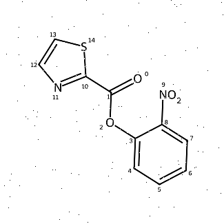 O=C(Oc1ccccc1[N+](=O)[O-])c1nccs1